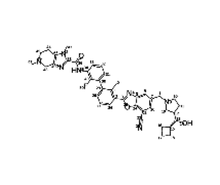 Cc1c(-c2nc3cc(CN4CCC(C(O)=C5CCC5)C4)cc(C#N)c3o2)cccc1-c1cccc(NC(=O)c2nc3c(n2C)CCN(C)C3)c1F